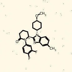 CO[C@H]1CC[C@H](n2c([C@@H]3CCCC(=O)N3c3ccc(F)c(F)c3)nc3cc(C)ccc32)CC1